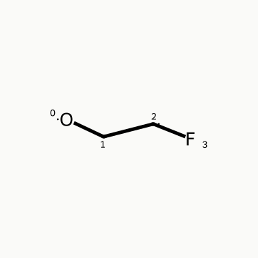 [O]C[CH]F